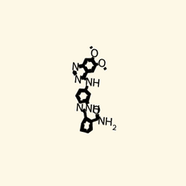 COc1cc2ncnc(Nc3ccc4nc(-c5ccccc5C(N)=O)[nH]c4c3)c2cc1OC